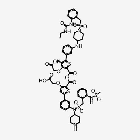 CCNC(=O)Nc1ccccc1CS(=O)(=O)N1CCC(Nc2cccc(-c3sc(C(=O)OC(=O)c4sc(-c5cccc(N(C6CCNCC6)S(=O)(=O)Cc6ccccc6NS(C)(=O)=O)c5)cc4OCC(=O)O)c(OCC(=O)O)c3C)c2)CC1